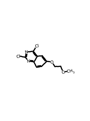 COCCOc1ccc2nc(Cl)nc(Cl)c2c1